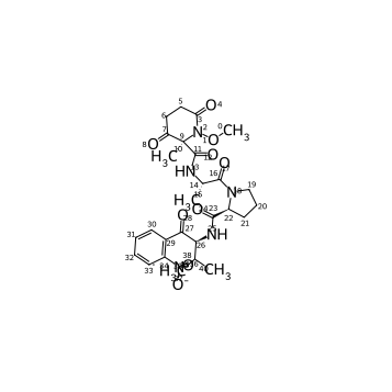 CON1C(=O)CCC(=O)[C@]1(C)C(=O)N[C@@H](C)C(=O)N1CCC[C@H]1C(=O)N[C@H](C(=O)c1ccc[c]c1[N+](=O)[O-])C(C)C